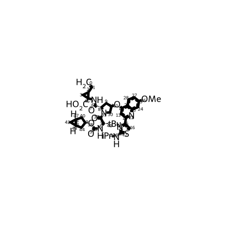 C=CC1C[C@]1(NC(=O)[C@@H]1CC(Oc2cc(-c3csc(NC(C)C)n3)nc3cc(OC)ccc23)CN1C(=O)[C@@H](NC(=O)O[C@H]1C[C@@H]2C[C@@H]2C1)C(C)(C)C)C(=O)O